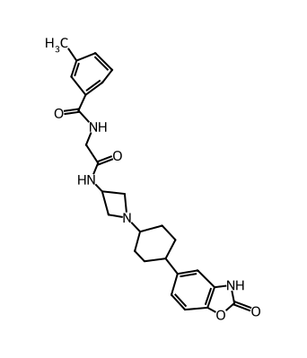 Cc1cccc(C(=O)NCC(=O)NC2CN(C3CCC(c4ccc5oc(=O)[nH]c5c4)CC3)C2)c1